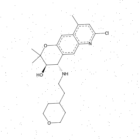 Cc1cc(Cl)nc2cc3c(cc12)OC(C)(C)[C@H](O)[C@H]3NCCC1CCOCC1